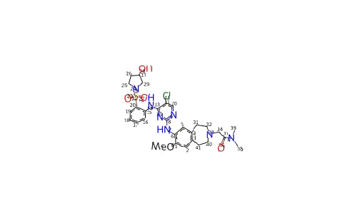 COc1cc2c(cc1Nc1ncc(Cl)c(Nc3ccccc3S(=O)(=O)N3CCC(O)C3)n1)CCN(CC(=O)N(C)C)CC2